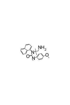 COc1ccc(N(C)C(=O)N(c2cccc3ccccc23)C(C)(C)CN)cc1